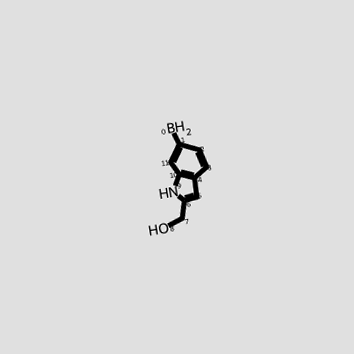 Bc1ccc2cc(CO)[nH]c2c1